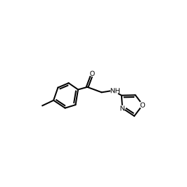 Cc1ccc(C(=O)CNc2cocn2)cc1